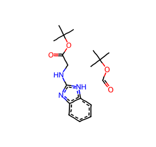 CC(C)(C)OC(=O)CNc1nc2ccccc2[nH]1.CC(C)(C)OC=O